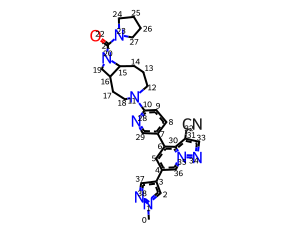 Cn1cc(-c2cc(-c3ccc(N4CCCC5C(CC4)CN5C(=O)N4CCCC4)nc3)c3c(C#N)cnn3c2)cn1